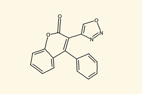 O=c1oc2ccccc2c(-c2ccccc2)c1-c1conn1